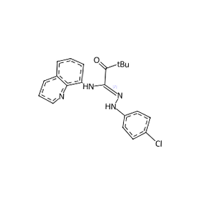 CC(C)(C)C(=O)/C(=N/Nc1ccc(Cl)cc1)Nc1cccc2cccnc12